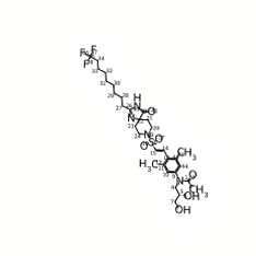 CC(=O)N(C[C@H](O)CO)c1cc(C)c(/C=C/S(=O)(=O)N2CCC3(CC2)N=C(CCCCCCCCC(F)(F)F)NC3=O)c(C)c1